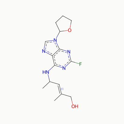 C/C(=C\C(C)Nc1nc(F)nc2c1ncn2C1CCCO1)CO